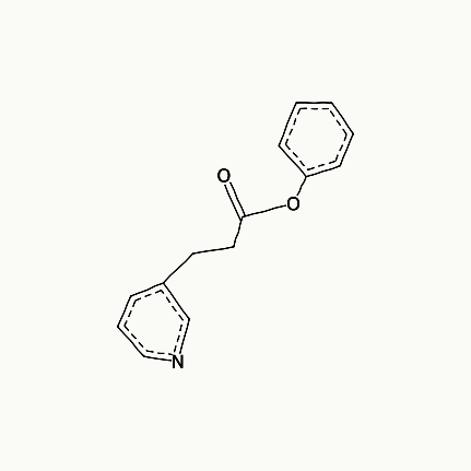 O=C(CCc1cccnc1)Oc1ccccc1